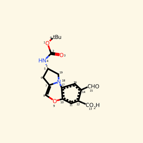 CC(C)(C)OC(=O)N[C@H]1CC2=COc3cc(C(=O)O)c(C=O)cc3N2C1